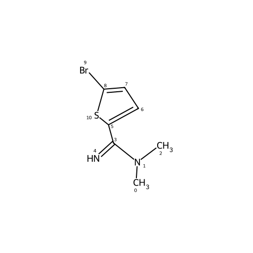 CN(C)C(=N)c1ccc(Br)s1